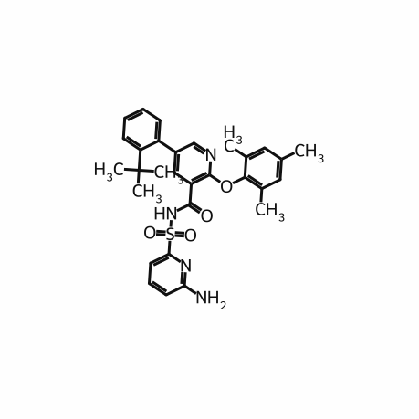 Cc1cc(C)c(Oc2ncc(-c3ccccc3C(C)(C)C)cc2C(=O)NS(=O)(=O)c2cccc(N)n2)c(C)c1